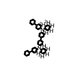 [2H]c1c([2H])c([2H])c(N(c2ccc(-c3ccccc3)cc2)c2ccc(-c3ccc(N(c4ccc(-c5ccccc5)cc4)c4c([2H])c([2H])c([2H])c([2H])c4[2H])cc3)cc2)c([2H])c1[2H]